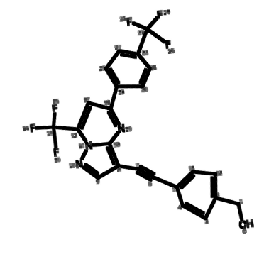 OCc1ccc(C#Cc2cnn3c(C(F)(F)F)cc(-c4ccc(C(F)(F)F)cc4)nc23)cc1